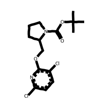 CC(C)(C)OC(=O)N1CCCC1COc1nc(Cl)ccc1Cl